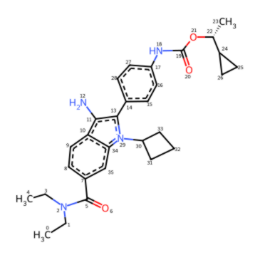 CCN(CC)C(=O)c1ccc2c(N)c(-c3ccc(NC(=O)O[C@H](C)C4CC4)cc3)n(C3CCC3)c2c1